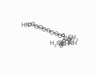 CCS(=O)(=O)Nc1ccc(Oc2cccc(OCCOCCOCCOCCOCCOCCOCCOC3CCNCC3)c2)c(-c2cn(C)c(=O)c3[nH]ccc23)c1